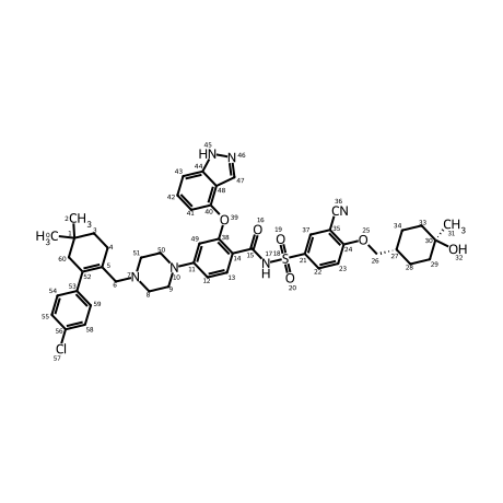 CC1(C)CCC(CN2CCN(c3ccc(C(=O)NS(=O)(=O)c4ccc(OC[C@H]5CC[C@](C)(O)CC5)c(C#N)c4)c(Oc4cccc5[nH]ncc45)c3)CC2)=C(c2ccc(Cl)cc2)C1